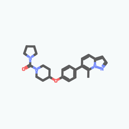 Cc1c(-c2ccc(OC3CCN(C(=O)N4CCCC4)CC3)cc2)ccc2ccnn12